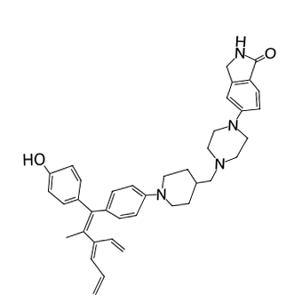 C=C/C=C(C=C)/C(C)=C(/c1ccc(O)cc1)c1ccc(N2CCC(CN3CCN(c4ccc5c(c4)CNC5=O)CC3)CC2)cc1